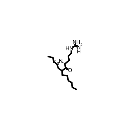 CCCCCCC(CCCCC)C(=O)[C@H](N)CCCNC(=N)N